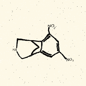 O=[N+]([O-])c1cc2c(c([N+](=O)[O-])c1)C1CNCC2C1